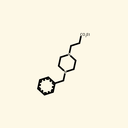 CCOC(=O)CCN1CCN(Cc2ccccc2)CC1